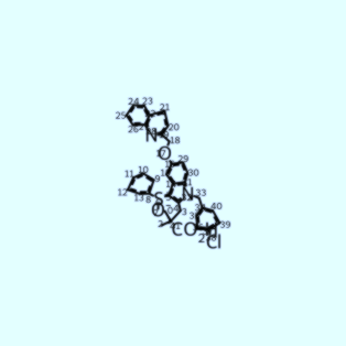 CC(C)(Cc1c([S+]([O-])c2ccccc2)c2cc(OCc3ccc4ccccc4n3)ccc2n1Cc1ccc(Cl)cc1)C(=O)O